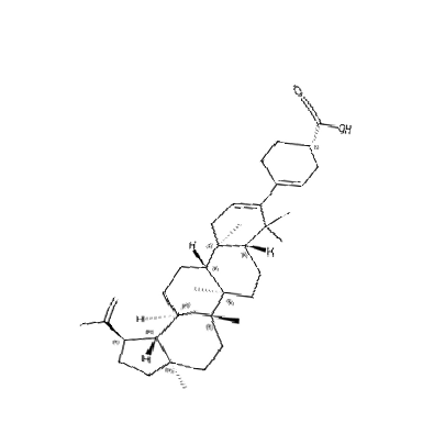 C=C(C)[C@@H]1CC[C@]2(C)CC[C@]3(C)[C@H](CC[C@@H]4[C@@]5(C)CC=C(C6=CC[C@@H](C(=O)O)CC6)C(C)(C)[C@@H]5CC[C@]43C)[C@@H]12